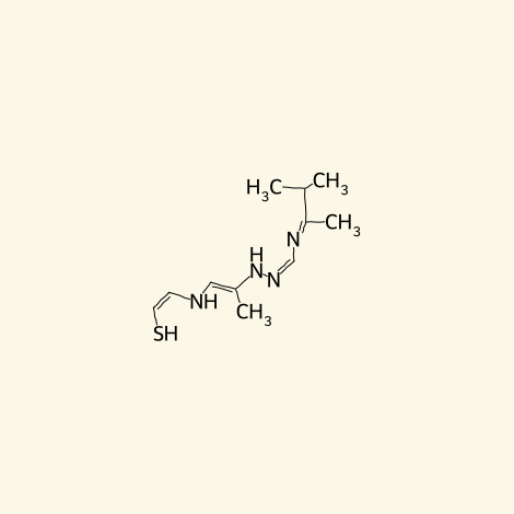 C/C(=C\N/C=C\S)N/N=C\N=C(/C)C(C)C